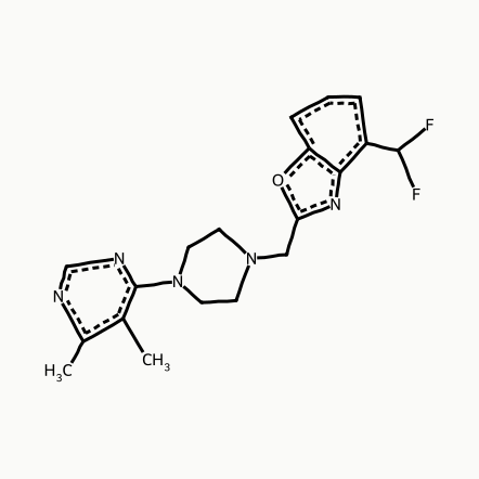 Cc1ncnc(N2CCN(Cc3nc4c(C(F)F)cccc4o3)CC2)c1C